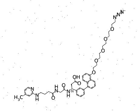 Cc1ccnc(NCCCC(=O)NCC(=O)N[C@@H](CC(=O)O)c2cccc(-c3cccc4c(OCCOCCOCCOCCOCCN=[N+]=[N-])cccc34)c2)c1